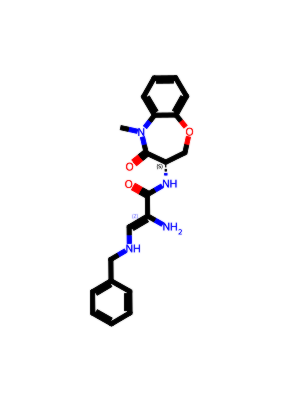 CN1C(=O)[C@@H](NC(=O)/C(N)=C/NCc2ccccc2)COc2ccccc21